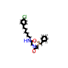 O=C(CN1C(=O)C[C@@H]1SCc1ccccc1)NCCCCCCc1ccc(Cl)cc1